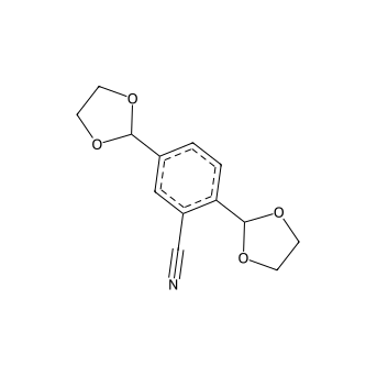 N#Cc1cc(C2OCCO2)ccc1C1OCCO1